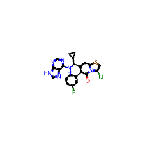 O=c1c(-c2cccc(F)c2)c(C(Nc2ncnc3[nH]cnc23)C2CC2)cc2scc(Cl)n12